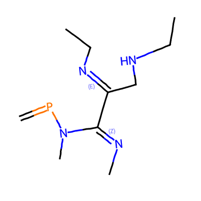 C=PN(C)C(=N\C)/C(CNCC)=N/CC